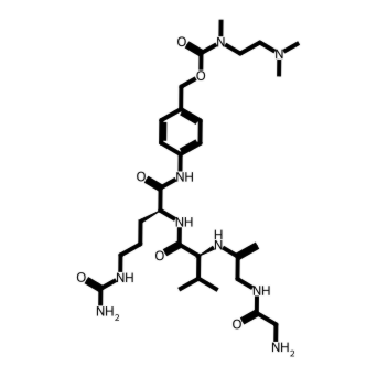 C=C(CNC(=O)CN)N[C@H](C(=O)N[C@@H](CCCNC(N)=O)C(=O)Nc1ccc(COC(=O)N(C)CCN(C)C)cc1)C(C)C